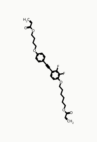 C=CC(=O)OCCCCCCOc1ccc(C#Cc2ccc(OCCCCOC(=O)C=C)cc2)c(F)c1F